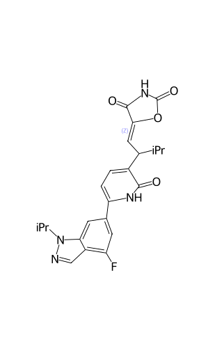 CC(C)C(/C=C1\OC(=O)NC1=O)c1ccc(-c2cc(F)c3cnn(C(C)C)c3c2)[nH]c1=O